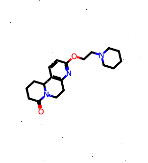 O=C1CCCC2c3ccc(OCCN4CCCCC4)nc3CCN12